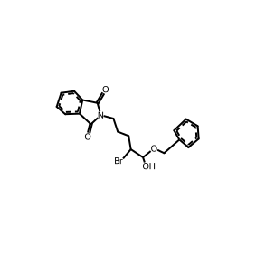 O=C1c2ccccc2C(=O)N1CCCC(Br)C(O)OCc1ccccc1